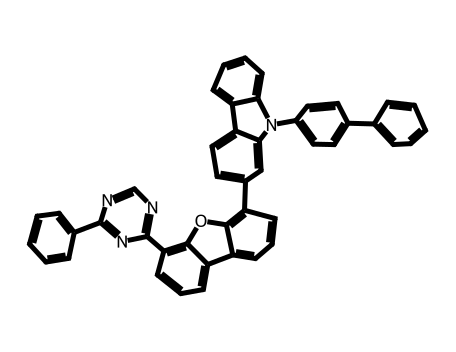 c1ccc(-c2ccc(-n3c4ccccc4c4ccc(-c5cccc6c5oc5c(-c7ncnc(-c8ccccc8)n7)cccc56)cc43)cc2)cc1